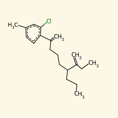 C=C(CCCC(CCC)C(=C)CC)c1ccc(C)cc1Cl